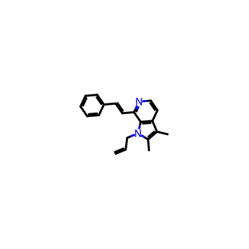 C=CCn1c(C)c(C)c2ccnc(/C=C/c3ccccc3)c21